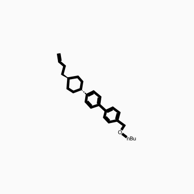 C=CCC[C@H]1CC[C@H](c2ccc(-c3ccc(COCCCC)cc3)cc2)CC1